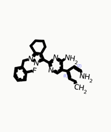 C=C/C=C(\C=C/N)c1cnc(-c2nn(Cc3ccccc3F)c3c2CCCC3)nc1N